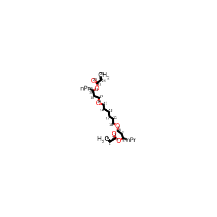 C=CC(=O)OC(CCC)CCOCCCCCCOCCC(CCC)OC(=O)C=C